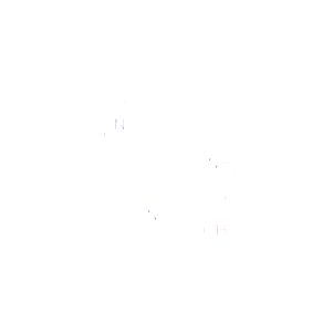 N#C/C(C(=O)O)=C(/N)c1ccc([N+](=O)[O-])cc1